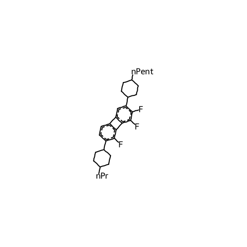 CCCCCC1CCC(c2cc3c(c(F)c2F)-c2c-3ccc(C3CCC(CCC)CC3)c2F)CC1